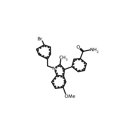 COc1ccc2c(c1)c(-c1cccc(C(N)=O)c1)c(C)n2Cc1ccc(Br)cc1